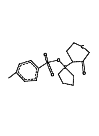 Cc1ccc(S(=O)(=O)OS2(C3CCCCC3=O)CCCC2)cc1